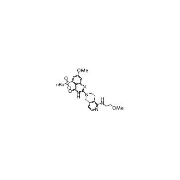 CCCCS(=O)(=O)c1cc(OC)cc2nc(N3CCc4c(ccnc4NCCOC)C3)[nH]c(=O)c12